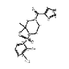 CC1(C)CN(C(=O)c2c[nH]nn2)CCN1S(=O)(=O)c1cccc(Cl)c1F